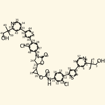 CC(C)(CO)c1cc(-c2csc(-c3ccc(NC(=O)OC4CC4C4CN(c5ccc(-c6cc(-c7ccnc(C(C)(C)CO)c7)cs6)c(Cl)c5)C(=O)O4)cc3Cl)c2)ccn1